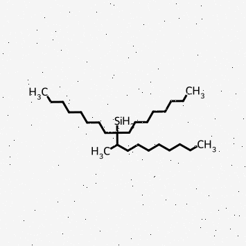 CCCCCCCCC(C)C([SiH3])(CCCCCCCC)CCCCCCCC